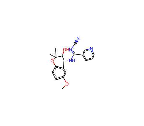 COc1ccc2c(c1)[C@@H](NC(=NC#N)c1cccnc1)[C@H](O)C(C)(C)O2